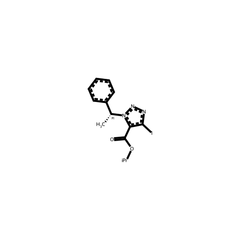 CC(C)OC(=O)c1c(I)nnn1[C@H](C)c1ccccc1